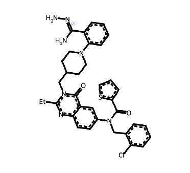 CCc1nc2ccc(N(Cc3ccccc3Cl)C(=O)c3cccs3)cc2c(=O)n1CC1CCN(c2ccccc2/C(N)=N/N)CC1